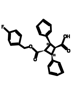 O=C(O)[C@H]1[C@H](c2ccccc2)[C@H](C(=O)OCc2ccc(F)cc2)[C@H]1c1ccccc1